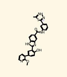 C/N=C(\SC(C)=N)c1cccc(NC(=O)c2ccc3[nH]c(-c4cc(-c5cccnc5OC)ccc4O)nc3c2)c1